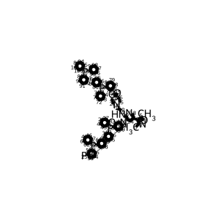 Cc1noc(C)c1-c1cnc(NCCN2CCS(=O)(=O)CC2)c([N+](=O)[O-])c1.[Pd].c1ccc(P(c2ccccc2)c2ccccc2)cc1.c1ccc(P(c2ccccc2)c2ccccc2)cc1.c1ccc(P(c2ccccc2)c2ccccc2)cc1.c1ccc(P(c2ccccc2)c2ccccc2)cc1